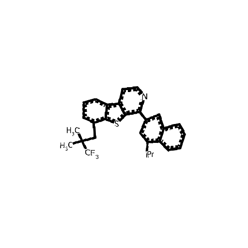 CC(C)c1cc(-c2nccc3c2sc2c(CC(C)(C)C(F)(F)F)cccc23)cc2ccccc12